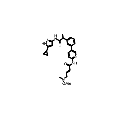 CON(C)C/C=C/C(=O)Nc1ccc(-c2cccc(C(C)C(=O)Nc3cc(C4CC4)[nH]n3)c2)cn1